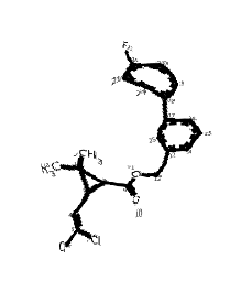 CC1(C)C(C=C(Cl)Cl)C1C(=O)OCc1cccc(-c2ccc(F)cc2)c1